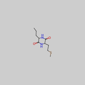 CCCC1NC(=O)C(CCSC)NC1=O